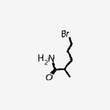 CC(CCCBr)C(N)=O